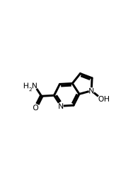 NC(=O)c1cc2ccn(O)c2cn1